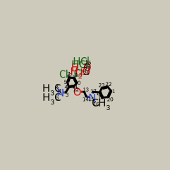 CN(C)Cc1cc(Cl)c(Cl)cc1OCCN(C)Cc1ccccc1.Cl.Cl.O.O